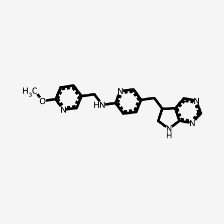 COc1ccc(CNc2ccc(CC3CNc4ncncc43)cn2)cn1